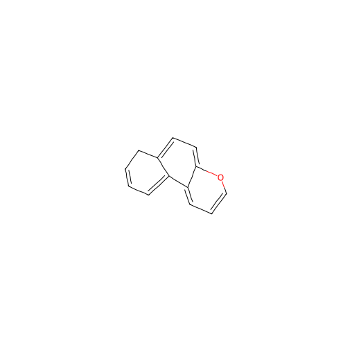 C1=CCc2ccc3c(c2=C1)=CC=CO3